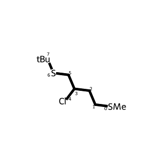 CSCCC(Cl)CSC(C)(C)C